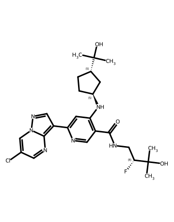 CC(C)(O)[C@H]1CC[C@H](Nc2cc(-c3cnn4cc(Cl)cnc34)ncc2C(=O)NC[C@@H](F)C(C)(C)O)C1